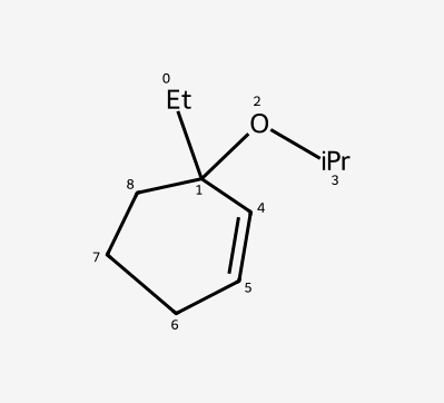 CCC1(OC(C)C)C=CCCC1